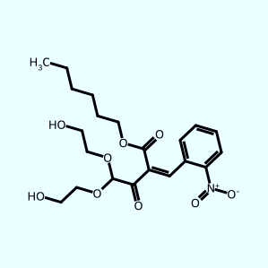 CCCCCCOC(=O)C(=Cc1ccccc1[N+](=O)[O-])C(=O)C(OCCO)OCCO